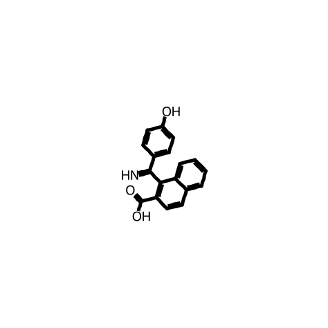 N=C(c1ccc(O)cc1)c1c(C(=O)O)ccc2ccccc12